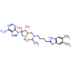 Cc1cc2nc(CCCCN(C[C@H]3OC[C@](O)(n4cnc5c(N)ncnc54)[C@@H]3O)C(C)C)[nH]c2cc1C